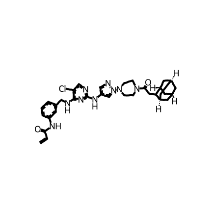 C=CC(=O)Nc1cccc(CNc2nc(Nc3cnn(N4CCN(C(=O)CC5[C@H]6C[C@@H]7C[C@@H](C[C@H]5C7)C6)CC4)c3)ncc2Cl)c1